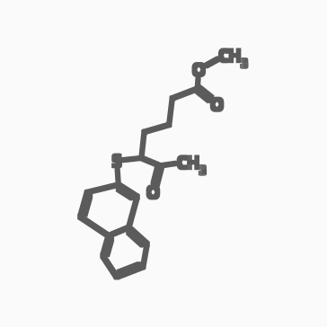 COC(=O)CCCC(Sc1ccc2ccccc2c1)C(C)=O